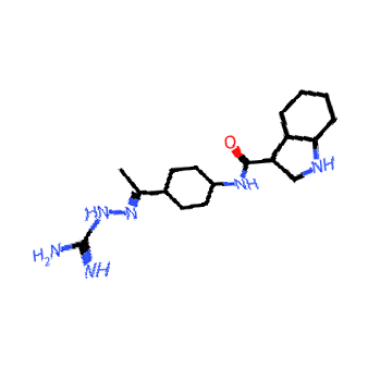 C/C(=N\NC(=N)N)C1CCC(NC(=O)C2CNC3CCCCC32)CC1